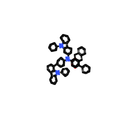 c1ccc(-c2ccc(N(c3ccc(-c4cccc5c6ccccc6n(-c6ccccc6)c45)cc3)c3ccc4c5ccccc5n(-c5ccccc5)c4c3)c3c2C2c4ccccc4C3c3ccccc32)cc1